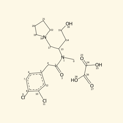 CN(C(=O)Cc1ccc(Cl)c(Cl)c1)C(CCO)CN1CCCC1.O=C(O)C(=O)O